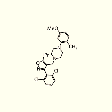 COc1ccc(C)c(N2CCN(Cc3c(-c4c(Cl)cccc4Cl)noc3C(C)C)CC2)c1